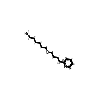 BrCCCCCCOCCCCc1ccccn1